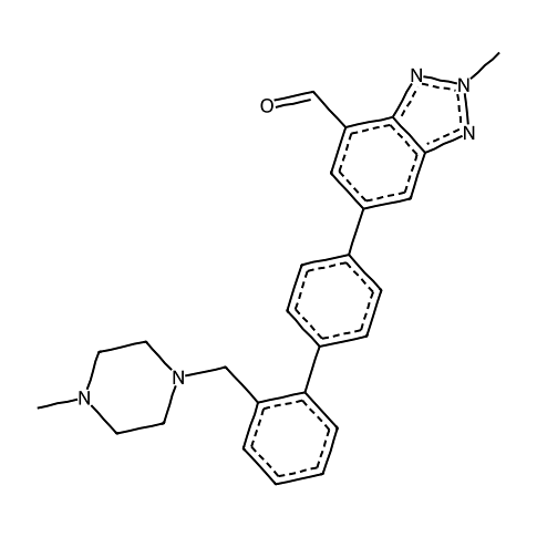 CN1CCN(Cc2ccccc2-c2ccc(-c3cc(C=O)c4nn(C)nc4c3)cc2)CC1